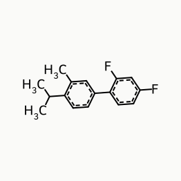 Cc1cc(-c2ccc(F)cc2F)ccc1C(C)C